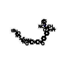 CCCC(c1ccc(-c2ccc(C(=O)N3CCC(N4CCC(C(=O)Nc5ncc(SCc6ncc(C(C)(C)C)o6)s5)CC4)CC3)cc2)cc1)N(C)C(=O)/C(C#N)=C/c1nccs1